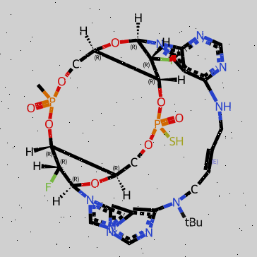 CC(C)(C)N1C/C=C/CNc2ncnc3c2ccn3[C@@H]2O[C@@H]3COP(C)(=O)O[C@H]4[C@@H](F)[C@@H](O[C@@H]4COP(=O)(S)O[C@H]3[C@H]2F)n2cnc3c1ncnc32